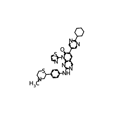 CN1CCSC(c2ccc(Nc3ncc4cc(-c5cnc(C6CCCCC6)nc5)c(=O)n(-c5nccs5)c4n3)cc2)C1